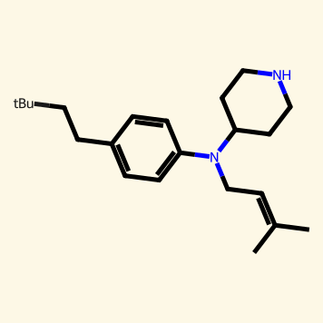 CC(C)=CCN(c1ccc(CCC(C)(C)C)cc1)C1CCNCC1